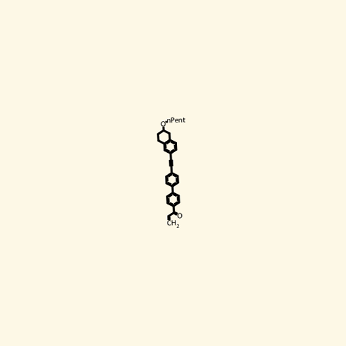 C=CC(=O)c1ccc(-c2ccc(C#Cc3ccc4c(c3)CCC(OCCCCC)C4)cc2)cc1